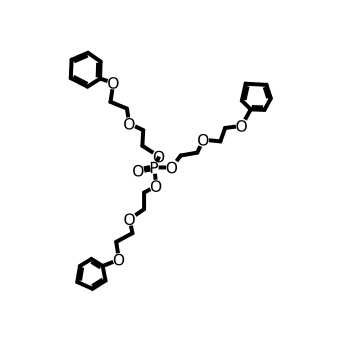 O=P(OCCOCCOc1ccccc1)(OCCOCCOc1ccccc1)OCCOCCOc1ccccc1